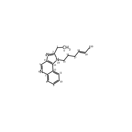 CCc1nc2cnc3ccccc3c2n1CCCC=CI